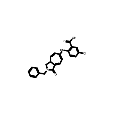 O=C(O)c1cc(Cl)ccc1NC1=CC=C2C(=O)N(Cc3ccccc3)CC2C=C1